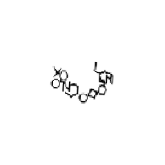 C=Cc1ccnc(OC2CC(OC3CCN(C(=O)OC(C)(C)C)CC3)C2)c1